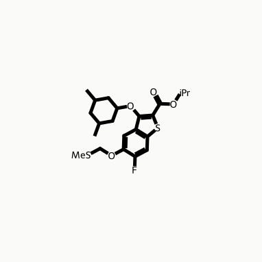 CSCOc1cc2c(OC3CC(C)CC(C)C3)c(C(=O)OC(C)C)sc2cc1F